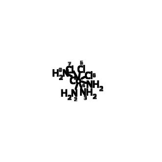 [NH2][Co]([NH2])([NH2])([NH2])([Cl])([Cl])[Cl]